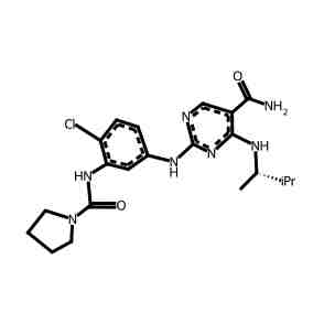 CC(C)[C@H](C)Nc1nc(Nc2ccc(Cl)c(NC(=O)N3CCCC3)c2)ncc1C(N)=O